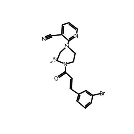 C[C@@H]1CN(c2ncccc2C#N)CCN1C(=O)C=Cc1cccc(Br)c1